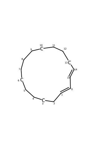 C1=C/CCCCCCCCCCCC/C=C/1